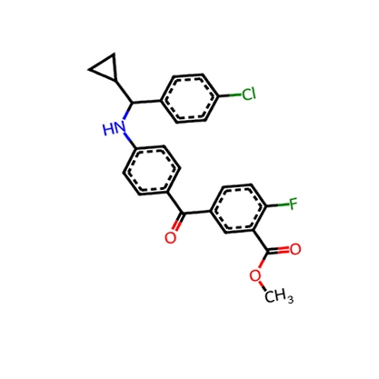 COC(=O)c1cc(C(=O)c2ccc(NC(c3ccc(Cl)cc3)C3CC3)cc2)ccc1F